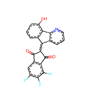 O=C1/C(=C2/c3cccnc3-c3c(O)cccc32)C(=O)c2c1cc(F)c(F)c2F